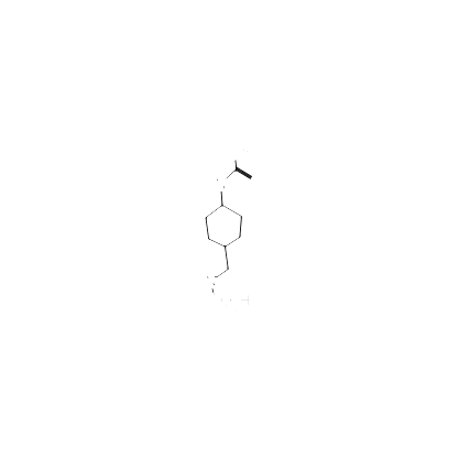 CC(C)C(=O)NC1CCC(CNC(=O)O)CC1